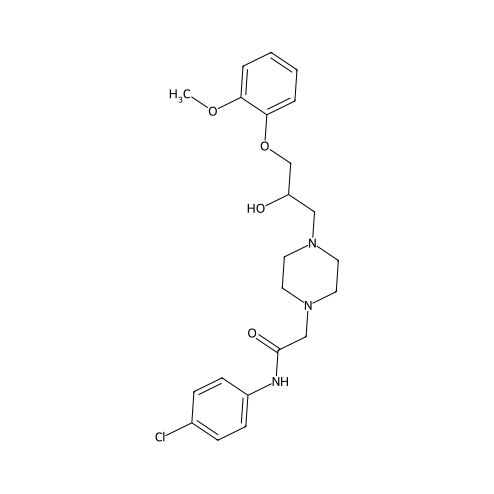 COc1ccccc1OCC(O)CN1CCN(CC(=O)Nc2ccc(Cl)cc2)CC1